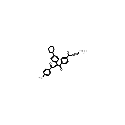 CC(C)(C)c1ccc(C(=O)C=C(C(=O)c2ccc(C(=O)NCCC(=O)O)cc2)c2ccc(C3CCCCC3)cc2)cc1